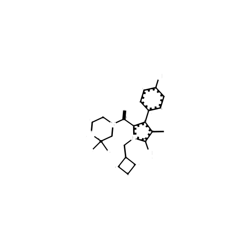 Cc1c(-c2ccc(Cl)cc2)c(C(=O)N2CCOC(C)(C)C2)n(CC2CCC2)c1C(F)(F)F